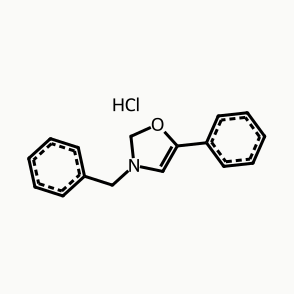 C1=C(c2ccccc2)OCN1Cc1ccccc1.Cl